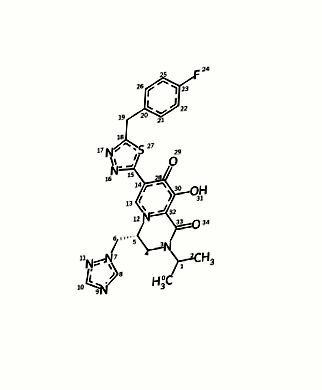 CC(C)N1C[C@H](Cn2cncn2)n2cc(-c3nnc(Cc4ccc(F)cc4)s3)c(=O)c(O)c2C1=O